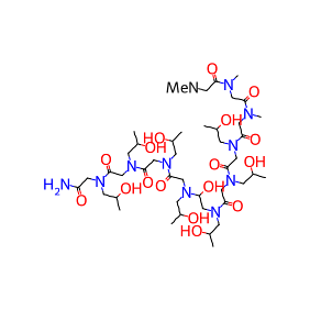 CNCC(=O)N(C)CC(=O)N(C)CC(=O)N(CC(=O)N(CC(=O)N(CC(C)O)CC(O)N(CC(=O)N(CC(=O)N(CC(=O)N(CC(N)=O)CC(C)O)CC(C)O)CC(C)O)CC(C)O)CC(C)O)CC(C)O